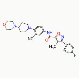 Cc1c(-c2ccc(F)cc2)noc1C(=O)Nc1ccc(N2CCC(N3CCOCC3)CC2)c(C#N)c1